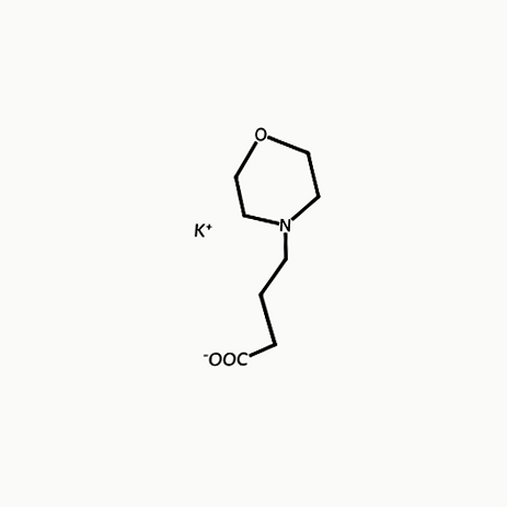 O=C([O-])CCCN1CCOCC1.[K+]